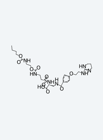 CCCCOC(=O)NCCOC(=O)NCCS(=O)(=O)N[C@@H](CNC(=O)c1ccc(OCCNC2=NCCCN2)cc1)C(=O)O